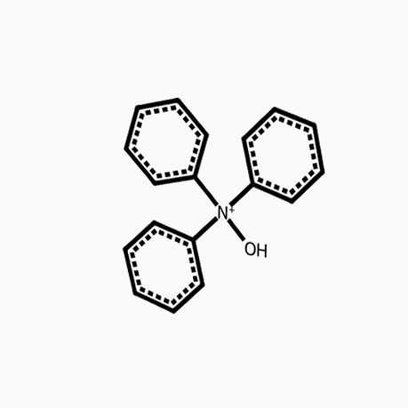 O[N+](c1ccccc1)(c1ccccc1)c1ccccc1